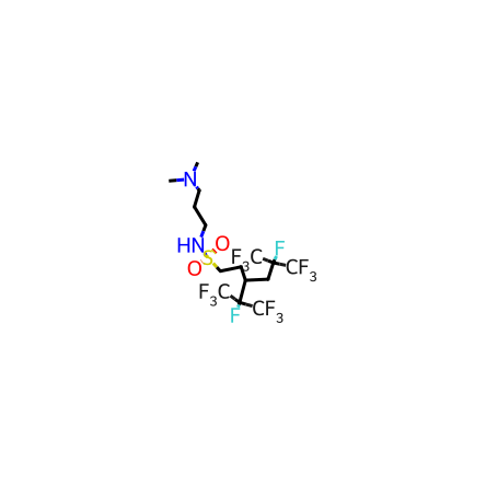 CN(C)CCCNS(=O)(=O)CCC(CC(F)(C(F)(F)F)C(F)(F)F)C(F)(C(F)(F)F)C(F)(F)F